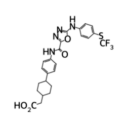 O=C(O)CC1CCC(c2ccc(NC(=O)c3nnc(Nc4ccc(SC(F)(F)F)cc4)o3)cc2)CC1